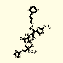 Nc1nc(C(=NOCC=Cc2ccccc2)C(=O)NC2C(=O)N3CC(CSc4nncs4)(C(=O)O)CS[C@H]23)cs1